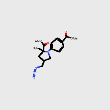 COC(=O)c1ccc(N2CC(CN=[N+]=[N-])CC2(C)C(=O)OC)cc1